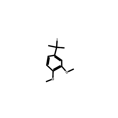 COc1ccc(C(C)(C)I)cc1OC